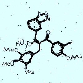 COc1ccc(C(=O)C(Cc2cc(OC)c(OC)c(OC)c2)=C(C(=O)O)c2ccc3nsnc3c2)cc1F